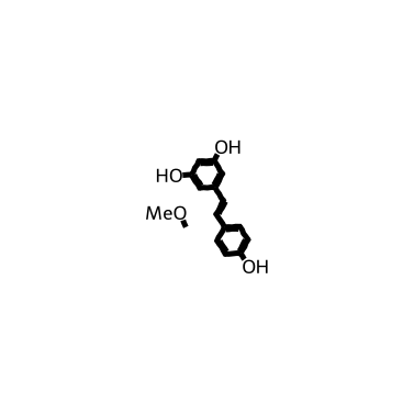 COC.Oc1ccc(C=Cc2cc(O)cc(O)c2)cc1